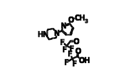 COc1cccc(N2CCNCC2)n1.O=C(O)C(F)(F)F.O=CC(F)(F)F